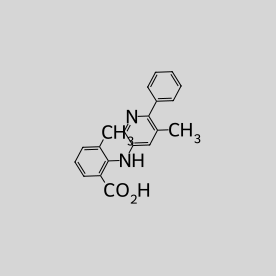 Cc1cc(Nc2c(C)cccc2C(=O)O)cnc1-c1ccccc1